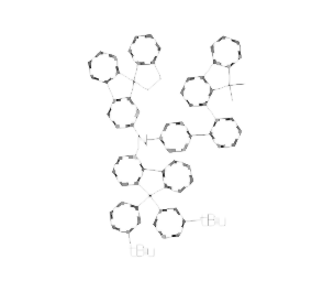 CC(C)(C)c1cccc(C2(c3cccc(C(C)(C)C)c3)c3ccccc3-c3c(N(c4ccc(-c5ccccc5-c5cccc6c5C(C)(C)c5ccccc5-6)cc4)c4ccc5c(c4)C4(CCc6ccccc64)c4ccccc4-5)cccc32)c1